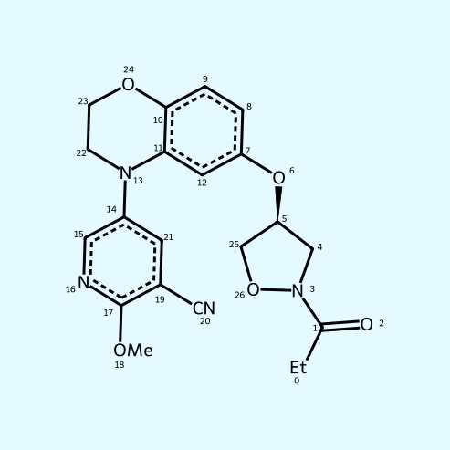 CCC(=O)N1C[C@H](Oc2ccc3c(c2)N(c2cnc(OC)c(C#N)c2)CCO3)CO1